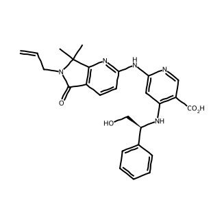 C=CCN1C(=O)c2ccc(Nc3cc(N[C@H](CO)c4ccccc4)c(C(=O)O)cn3)nc2C1(C)C